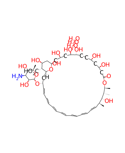 C[C@@H]1[C@H](O)[C@@H](C)/C=C/C=C/C=C/C=C/C=C/C=C/C=C/[C@H](O[C@@H]2O[C@H](C)[C@@H](O)[C@H](N)[C@@H]2O)C[C@@H]2O[C@](O)(C[C@@H](O)C[C@@H](O)[C@H](O)CC[C@@H](O)C[C@@H](O)CC(=O)O[C@H]1C)C[C@H](O)[C@H]2C(=O)O.O.O.O